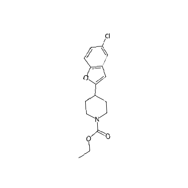 CCOC(=O)N1CCC(c2cc3cc(Cl)ccc3o2)CC1